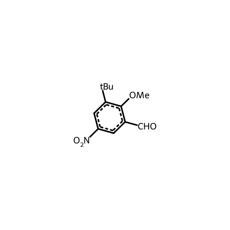 COc1c(C=O)cc([N+](=O)[O-])cc1C(C)(C)C